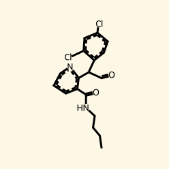 CCCCNC(=O)c1cccnc1C(C=O)c1ccc(Cl)cc1Cl